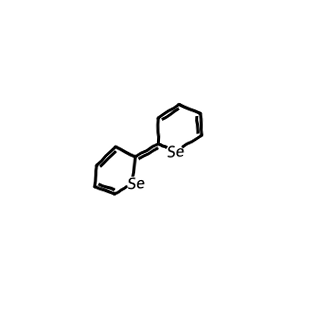 C1=C[Se]C(=C2C=CC=C[Se]2)C=C1